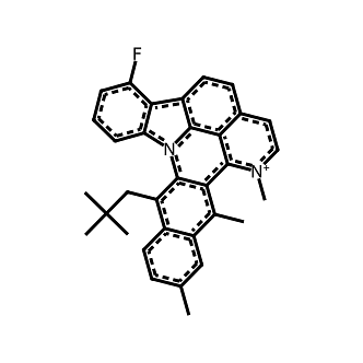 Cc1ccc2c(CC(C)(C)C)c3c(c(C)c2c1)c1c2c(ccc4c5c(F)cccc5n3c42)cc[n+]1C